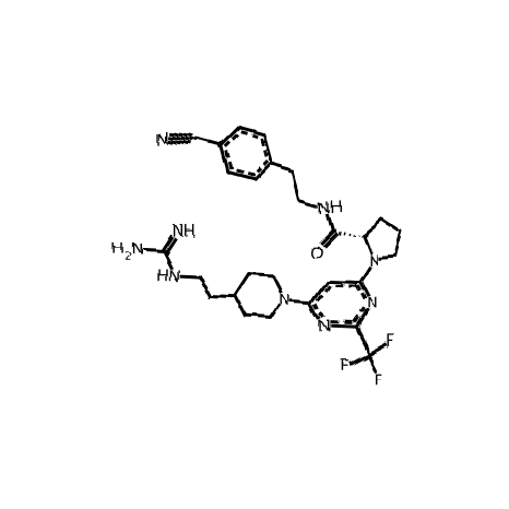 N#Cc1ccc(CCNC(=O)[C@@H]2CCCN2c2cc(N3CCC(CCNC(=N)N)CC3)nc(C(F)(F)F)n2)cc1